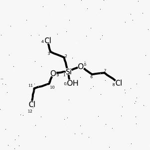 O[Si](CCCl)(OCCCl)OCCCl